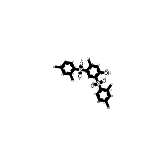 Cc1ccc(S(=O)(=O)c2cc(S(=O)(=O)c3ccc(C)cc3C)c(O)cc2C)c(C)c1